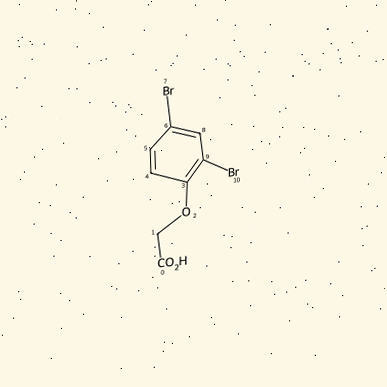 O=C(O)COc1ccc(Br)cc1Br